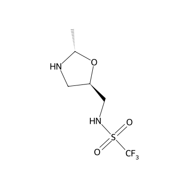 C[C@H]1NC[C@H](CNS(=O)(=O)C(F)(F)F)O1